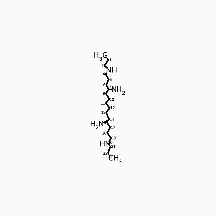 CCCNCCCC(N)CCCCCCC(N)CCCNCCC